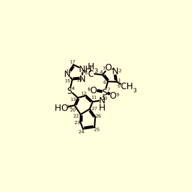 Cc1noc(C)c1S(=O)(=O)Nc1cc(Sc2nc[nH]n2)c(O)c2ccccc12